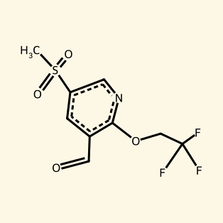 CS(=O)(=O)c1cnc(OCC(F)(F)F)c(C=O)c1